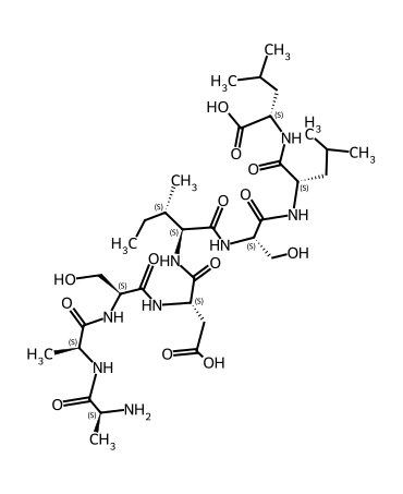 CC[C@H](C)[C@H](NC(=O)[C@H](CC(=O)O)NC(=O)[C@H](CO)NC(=O)[C@H](C)NC(=O)[C@H](C)N)C(=O)N[C@@H](CO)C(=O)N[C@@H](CC(C)C)C(=O)N[C@@H](CC(C)C)C(=O)O